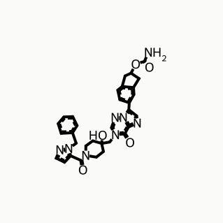 NC(=O)OC1Cc2ccc(-c3cnc4c(=O)n(CC5(O)CCN(C(=O)c6ccnn6Cc6ccccc6)CC5)cnn34)cc2C1